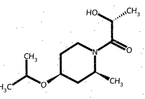 CC(C)O[C@H]1CCN(C(=O)[C@@H](C)O)[C@@H](C)C1